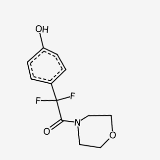 O=C(N1CCOCC1)C(F)(F)c1ccc(O)cc1